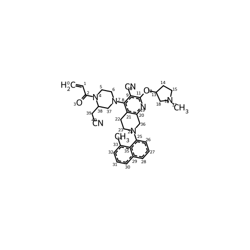 C=CC(=O)N1CCN(c2c(C#N)c(OC3CCN(C)C3)nc3c2CCN(c2cccc4cccc(C)c24)C3)CC1CC#N